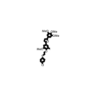 COc1cc(C2CCC(c3cc(OC)c(OC)c(OC)c3)O2)cc(I)c1OCCSc1ccc(Cl)cc1